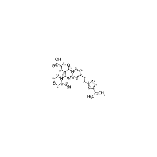 CC(C)c1csc(CCc2ccn3c(=O)c(C=C(F)C(=O)O)c(N4CCOCC4C#N)nc3c2)n1